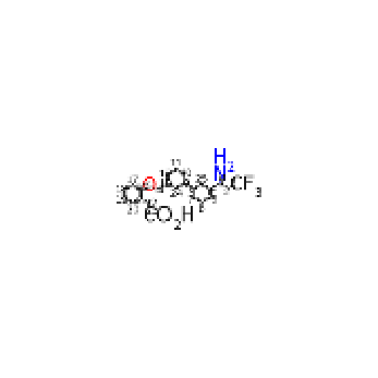 N[C@H](CC(F)(F)F)c1cccc(-c2cccc(COc3ccccc3CC(=O)O)c2)c1